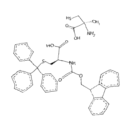 C[C@@](N)(CS)C(=O)O.O=C(N[C@@H](CSC(c1ccccc1)(c1ccccc1)c1ccccc1)C(=O)O)OCC1c2ccccc2-c2ccccc21